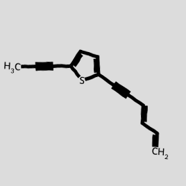 C=CC=CC#Cc1ccc(C#CC)s1